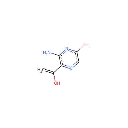 Bc1cnc(C(=C)O)c(N)n1